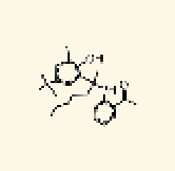 CCCCCC(C)(Pc1ccccc1C(C)=O)c1cc(C(C)(C)C)cc(C)c1O